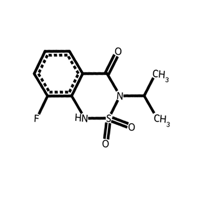 CC(C)N1C(=O)c2cccc(F)c2NS1(=O)=O